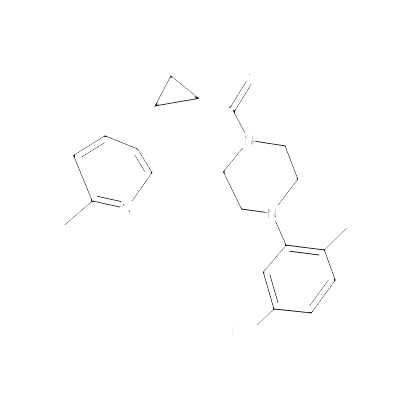 Cc1ccc([C@@H]2C[C@@H]2C(=O)N2CCN(c3cc(C(F)(F)F)ccc3C)CC2)cn1